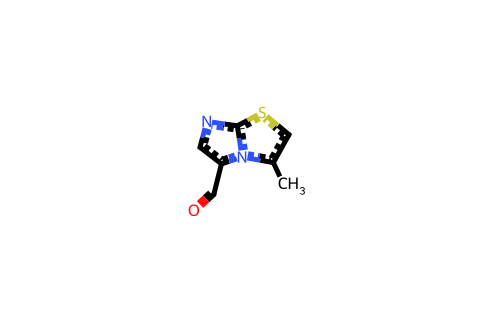 Cc1csc2ncc(C=O)n12